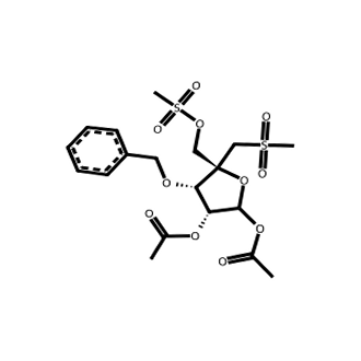 CC(=O)OC1O[C@@](COS(C)(=O)=O)(CS(C)(=O)=O)[C@@H](OCc2ccccc2)[C@H]1OC(C)=O